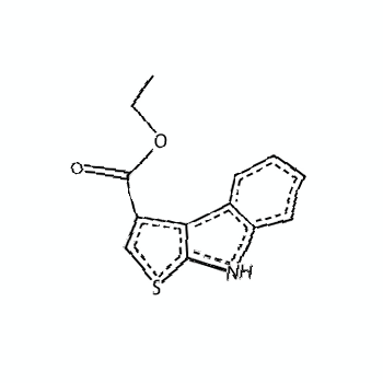 CCOC(=O)c1csc2[nH]c3ccccc3c12